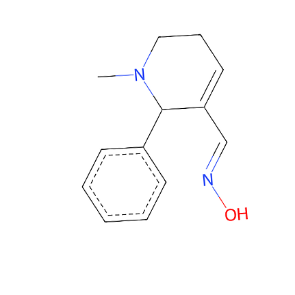 CN1CCC=C(C=NO)C1c1ccccc1